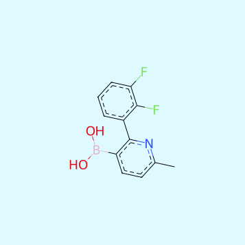 Cc1ccc(B(O)O)c(-c2cccc(F)c2F)n1